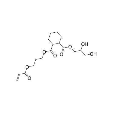 C=CC(=O)OCCCOC(=O)C1CCCCC1C(=O)OCC(O)CO